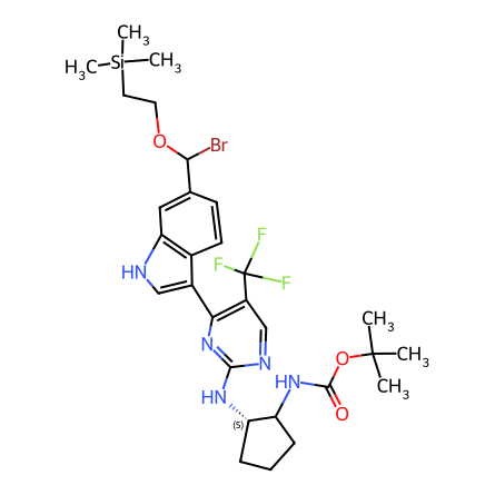 CC(C)(C)OC(=O)NC1CCC[C@@H]1Nc1ncc(C(F)(F)F)c(-c2c[nH]c3cc(C(Br)OCC[Si](C)(C)C)ccc23)n1